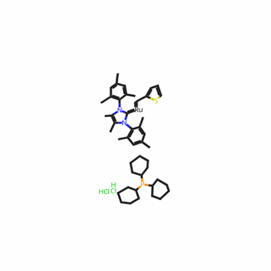 C1CCC(P(C2CCCCC2)C2CCCCC2)CC1.Cc1cc(C)c(-n2c(C)c(C)n(-c3c(C)cc(C)cc3C)[c]2=[Ru]=[CH]c2cccs2)c(C)c1.Cl.Cl